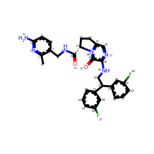 Cc1nc(N)ccc1CNC(=O)[C@@H]1CCc2cnc(NCC(c3cccc(F)c3)c3cccc(F)c3)c(=O)n21